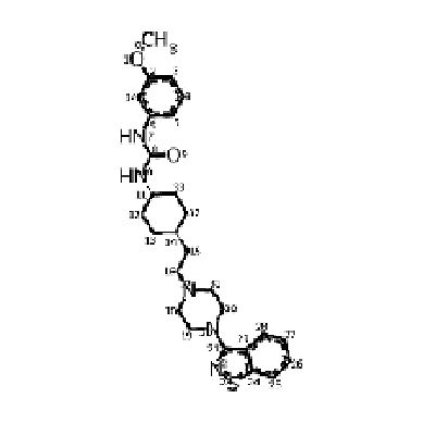 COc1cccc(NC(=O)N[C@H]2CC[C@H](CCN3CCN(c4nsc5ccccc45)CC3)CC2)c1